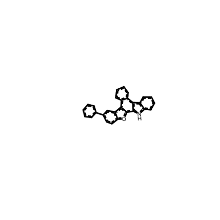 c1ccc(-c2ccc3oc4c5[nH]c6ccccc6c5c5ccccc5c4c3c2)cc1